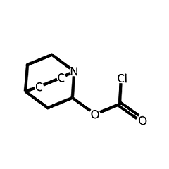 O=C(Cl)OC1CC2CCN1CC2